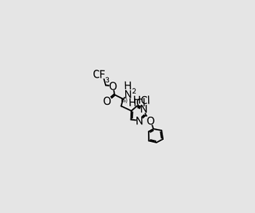 Cl.Cl.N[C@@H](Cc1cnc(Oc2ccccc2)nc1)C(=O)OCC(F)(F)F